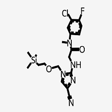 CN(C(=O)CNc1nc(C#N)cn1COCC[Si](C)(C)C)c1ccc(F)c(Cl)c1